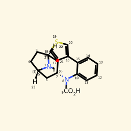 CN1[C@@H]2CC[C@H]1C[C@@H](N(C(=O)O)c1ccccc1-c1ccsc1)C2